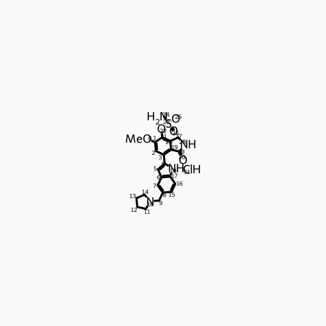 COc1cc(-c2cc3cc(CN4CCCC4)ccc3[nH]2)c2c(c1OS(N)(=O)=O)CNC2=O.Cl